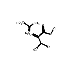 C=C(C(=O)OCl)C(O)CC.C=C(C)C(=O)O